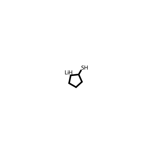 SC1CCCC1.[LiH]